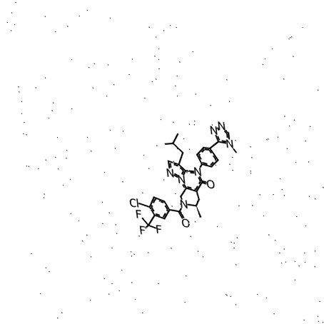 CC(C)Cc1cnn2c3c(c(=O)n(-c4ccc(-c5nncn5C)cc4)c12)C[C@@H](C)N(C(=O)c1ccc(Cl)c(C(F)(F)F)c1)C3